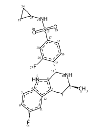 C[C@H]1Cc2c([nH]c3ccc(F)cc23)[C@H](c2ccc(S(=O)(=O)NC3CC3)cc2F)N1